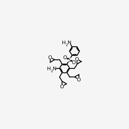 Nc1cccc(S(=O)(=O)c2c(CC3CO3)c(N)c(CC3CO3)c(CC3CO3)c2CC2CO2)c1